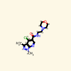 Cc1nn(C)c2ncc(C(=O)NCCN3CCOCC3)c(Cl)c12